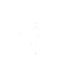 C#Cc1nc(C(=O)N(c2cc(OC)cc(OC)c2)C2CCC(=O)N(CC(F)(F)F)C2)cs1